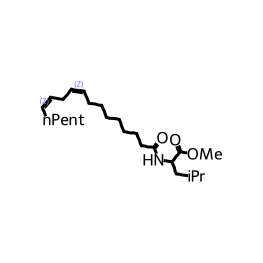 CCCCC/C=C\C/C=C\CCCCCCCC(=O)NC(CC(C)C)C(=O)OC